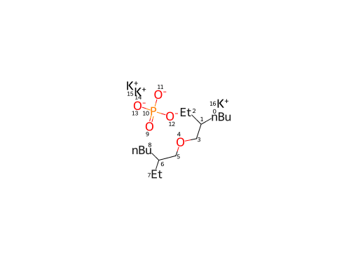 CCCCC(CC)COCC(CC)CCCC.O=P([O-])([O-])[O-].[K+].[K+].[K+]